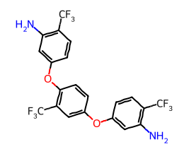 Nc1cc(Oc2ccc(Oc3ccc(C(F)(F)F)c(N)c3)c(C(F)(F)F)c2)ccc1C(F)(F)F